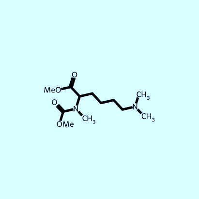 COC(=O)C(CCCCN(C)C)N(C)C(=O)OC